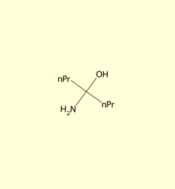 CCCC(N)(O)CCC